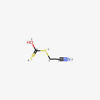 N#CCSC(O)=S